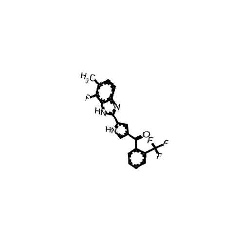 Cc1ccc2nc(-c3cc(C(=O)c4ccccc4C(F)(F)F)c[nH]3)[nH]c2c1F